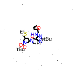 CCSCC1CC(N(CC(C)C)C(=O)c2cnc(C(C)(C)C)nc2NCc2ccco2)CN(C(=O)OC(C)(C)C)C1